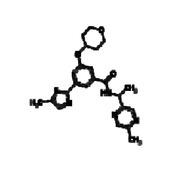 Cc1cnc(C(C)NC(=O)c2cc(OC3CCOCC3)cc(-c3ncc(C)s3)c2)cn1